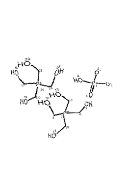 O=P([O-])([O-])O.OC[P+](CO)(CO)CO.OC[P+](CO)(CO)CO